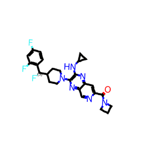 O=C(c1cc2nc(NC3CC3)c(N3CCC([C@H](F)c4ccc(F)cc4F)CC3)nc2cn1)N1CCC1